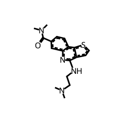 CN(C)CCNc1nc2cc(C(=O)N(C)C)ccc2c2sccc12